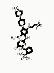 COc1cc(N2CCC(N3CCN(C)CC3)CC2)c(NCCS(=O)(=O)F)cc1Nc1ncc(Cl)c(Nc2ccccc2P(C)(C)=O)n1